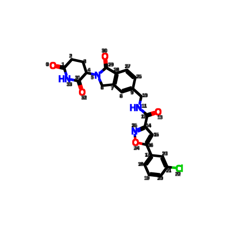 O=C1CCC(N2Cc3cc(CNC(=O)c4cc(-c5cccc(Cl)c5)on4)ccc3C2=O)C(=O)N1